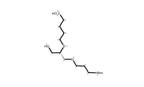 CCCCCCCCCCCCOC[C@H](CO)OCCCCC(=O)O